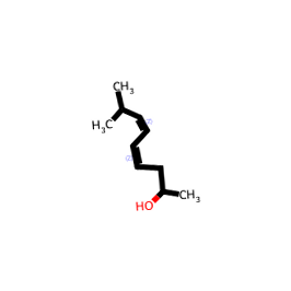 CC(C)/C=C\C=C/CC(C)O